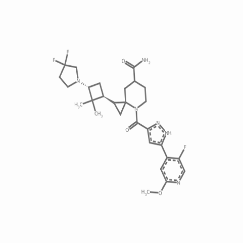 COc1cc(-c2cc(C(=O)N3CCC(C(N)=O)CC34CC4[C@@H]3C[C@@H](N4CCC(F)(F)C4)C3(C)C)n[nH]2)c(F)cn1